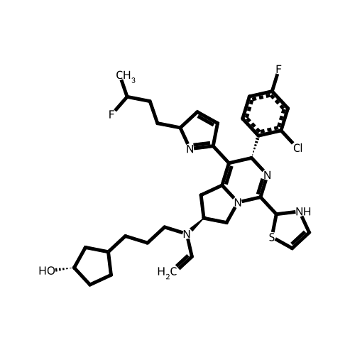 C=CN(CCCC1CC[C@H](O)C1)[C@H]1CC2=C(C3=NC(CCC(C)F)C=C3)[C@H](c3ccc(F)cc3Cl)N=C(C3NC=CS3)N2C1